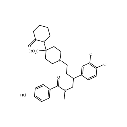 CCOC(=O)C1(N2CCCCC2=O)CCN(CCC(CN(C)C(=O)c2ccccc2)c2ccc(Cl)c(Cl)c2)CC1.Cl